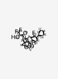 CS(=O)(=O)N[C@@H]1[C@H](Cc2cccc(-c3ccccc3)c2F)N(C(=O)C(O)C(F)F)CC12CC2